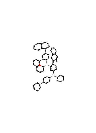 c1ccc(-c2ccc(N(c3ccccc3)c3cc(N(c4ccccc4)c4ccc(-c5cccc6ccccc56)cc4-c4ccccc4)c4c(c3)oc3cc5ccccc5cc34)cc2)cc1